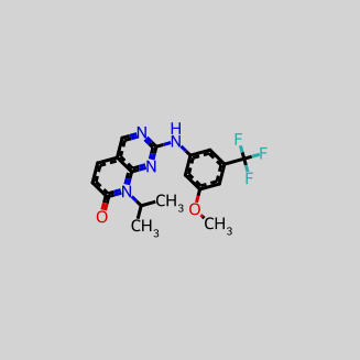 COc1cc(Nc2ncc3ccc(=O)n(C(C)C)c3n2)cc(C(F)(F)F)c1